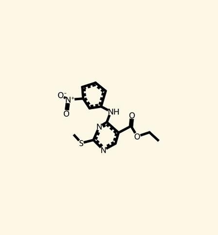 CCOC(=O)c1cnc(SC)nc1Nc1cccc([N+](=O)[O-])c1